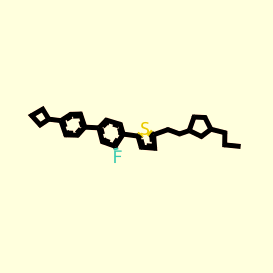 CCCC1CCC(CCc2ccc(-c3ccc(-c4ccc(C5CCC5)cc4)cc3F)s2)C1